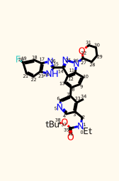 CCN(Cc1cncc(-c2ccc3c(c2)c(-c2nc4cc(F)ccc4[nH]2)nn3C2CCCCO2)c1C)C(=O)OC(C)(C)C